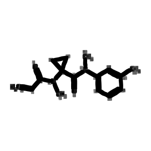 C=CC(=O)N(C)C1(C(=O)N(C)c2cccc(C)c2)CC1